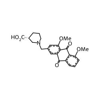 COc1cccc2c1C(=O)c1c(OC)cc(CN3CCC[C@@H](C(=O)O)C3)cc1C2=O